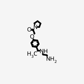 CC(NCCN)c1ccc(OCC(=O)N2CCCC2)cc1